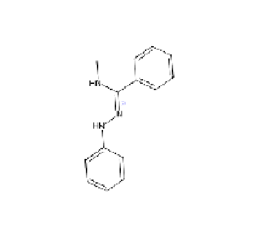 CN/C(=N\Nc1ccccc1)c1ccccc1